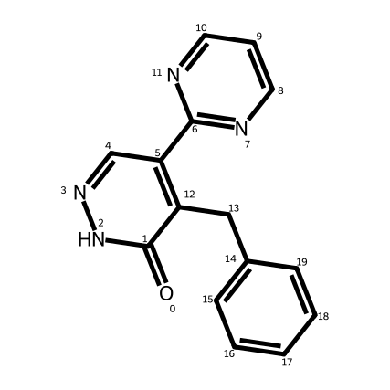 O=c1[nH]ncc(-c2ncccn2)c1Cc1ccccc1